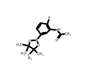 CC(=O)Nc1cc(B2OC(C)(C)C(C)(C)O2)ccc1F